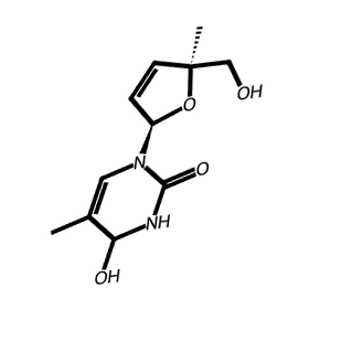 CC1=CN([C@H]2C=C[C@@](C)(CO)O2)C(=O)NC1O